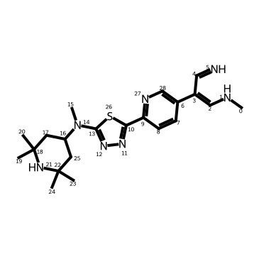 CN/C=C(\C=N)c1ccc(-c2nnc(N(C)C3CC(C)(C)NC(C)(C)C3)s2)nc1